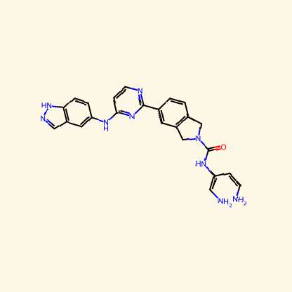 N/C=C\C(=C/N)NC(=O)N1Cc2ccc(-c3nccc(Nc4ccc5[nH]ncc5c4)n3)cc2C1